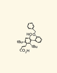 CC(C)(C)c1cc(O)c(-c2ccccc2OCc2ccccc2)c(C(C)(C)C)c1C=CC(=O)O